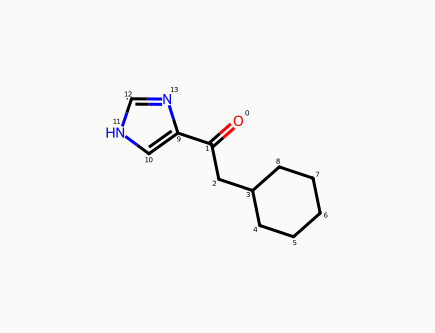 O=C(CC1CCCCC1)c1c[nH][c]n1